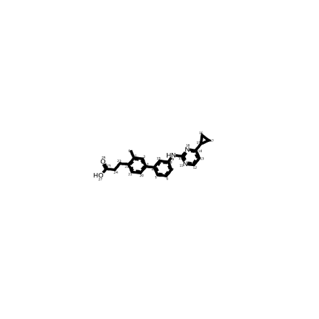 Cc1cc(-c2cccc(Nc3nccc(C4CC4)n3)c2)ccc1CCC(=O)O